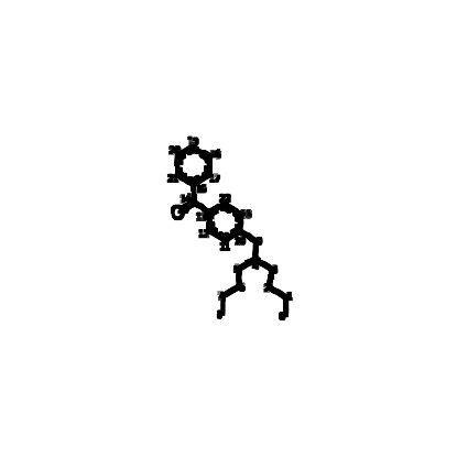 CCCCC(CCCC)Cc1ccc(C(=O)c2ccccc2)cc1